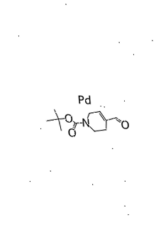 CC(C)(C)OC(=O)N1CC=C(C=O)CC1.[Pd]